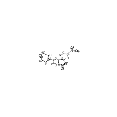 O=C(O)C1CCN(c2cc(N3CCOCC3)ccc2[N+](=O)[O-])CC1